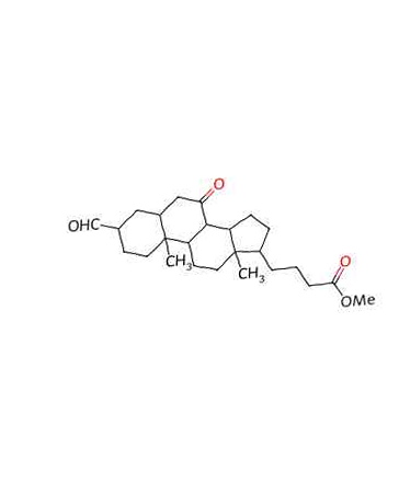 COC(=O)CCCC1CCC2C3C(=O)CC4CC(C=O)CCC4(C)C3CCC12C